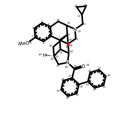 COc1ccc2c(c1)C13CCN(CC4CC4)C(C2)C12CCC1C3[C@@H](CN1C(=O)c1ccccc1-c1ccccc1)C2